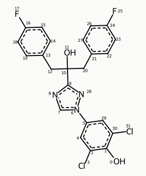 Oc1c(Cl)cc(-n2cnc(C(O)(Cc3ccc(F)cc3)Cc3ccc(F)cc3)n2)cc1Cl